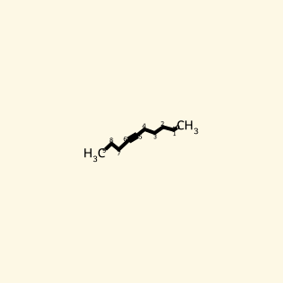 C[CH]CCCC#CCCC